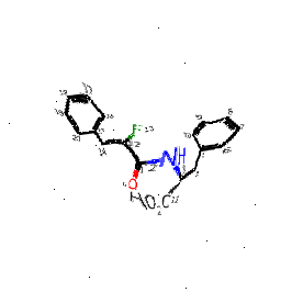 O=C(N[C@@H](Cc1ccccc1)C(=O)O)C(F)=Cc1ccccc1